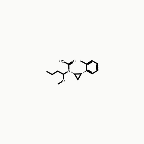 CCCC(OC)N(C(=O)O)[C@H]1C[C@H]1c1ccccc1I